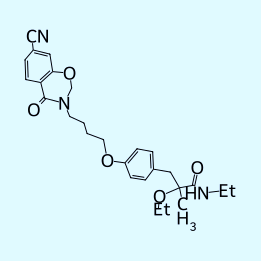 CCNC(=O)C(C)(Cc1ccc(OCCCCN2COc3cc(C#N)ccc3C2=O)cc1)OCC